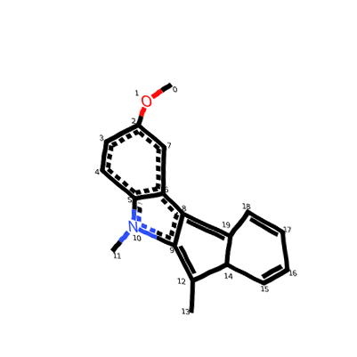 COc1ccc2c(c1)c1c(n2C)=C(C)C2C=CC=CC=12